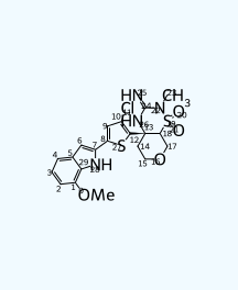 COc1cccc2cc(-c3cc(Cl)c([C@]45CCOCC4S(=O)(=O)N(C)C(=N)N5)s3)[nH]c12